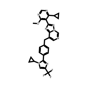 COc1ncnc(C2CC2)c1-c1nc2c(Cc3ccc(-c4nc(C(F)(F)F)cn4C4CC4)cc3)cncn2n1